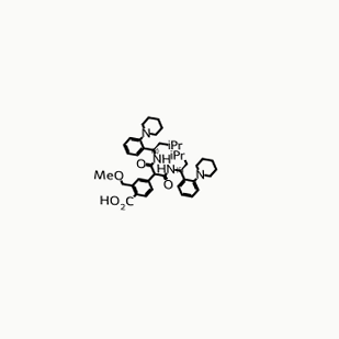 COCc1cc(C(C(=O)N[C@@H](CC(C)C)c2ccccc2N2CCCCC2)C(=O)N[C@H](CC(C)C)c2ccccc2N2CCCCC2)ccc1C(=O)O